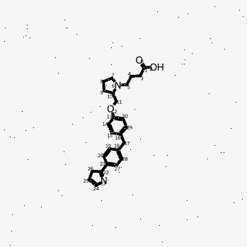 O=C(O)CCCN1CCCC1COc1ccc(Cc2ccc(C3=NC=CC3)cc2)cc1